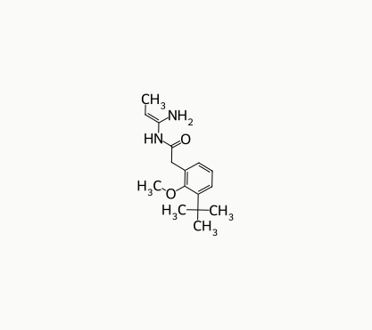 CC=C(N)NC(=O)Cc1cccc(C(C)(C)C)c1OC